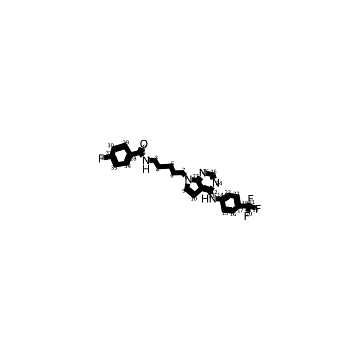 O=C(NCCCCCn1ccc2c(Nc3ccc(C(F)(F)F)cc3)ncnc21)c1ccc(F)cc1